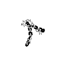 Cc1cc(C[C@@H](OC(=O)N2CCC(N3CCc4ccccc4NC3=O)CC2)C(=O)N2CCN(C3CCN(CCC(=O)OCCN4CCCCC4=O)CC3)CC2)cc(C)c1O